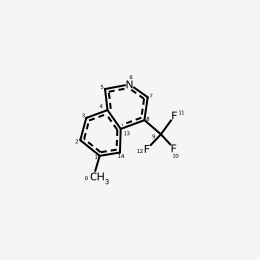 Cc1ccc2cncc(C(F)(F)F)c2c1